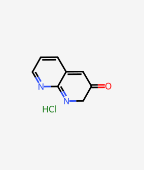 Cl.O=C1C=c2cccnc2=NC1